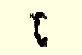 CC(C)(C)CCCCc1cn(CCCCCCCCOc2ccc(/N=N/c3ccc(O)c(COC=O)c3)cc2)nn1